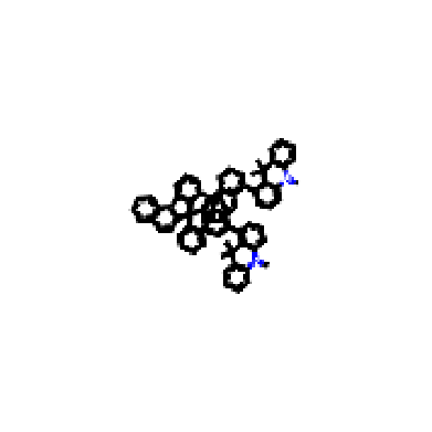 CN1c2ccccc2C(C)(C)c2c(-c3cccc4c(-c5cccc6c5C5(c7ccccc7-c7ccccc75)c5ccc7ccccc7c5-6)c5cccc(-c6cccc7c6C(C)(C)c6ccccc6N7C)c5cc34)cccc21